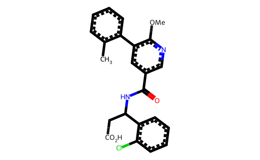 COc1ncc(C(=O)NC(CC(=O)O)c2ccccc2Cl)cc1-c1ccccc1C